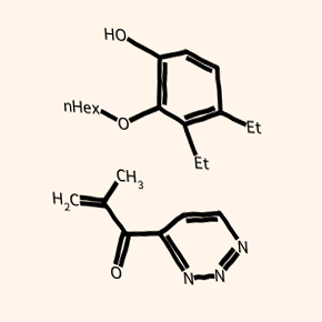 C=C(C)C(=O)c1ccnnn1.CCCCCCOc1c(O)ccc(CC)c1CC